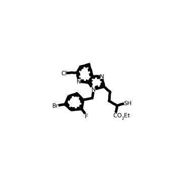 CCOC(=O)C(S)CCc1nc2ccc(Cl)nc2n1Cc1ccc(Br)cc1F